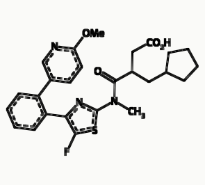 COc1ccc(-c2ccccc2-c2nc(N(C)C(=O)C(CC(=O)O)CC3CCCC3)sc2F)cn1